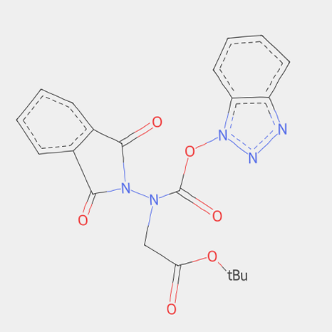 CC(C)(C)OC(=O)CN(C(=O)On1nnc2ccccc21)N1C(=O)c2ccccc2C1=O